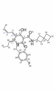 C\C=C/C=c1/c(O)c(C(=O)NC2CC3(CCC3)C2)c(=O)n(Cc2ccc(F)cc2)/c1=C\CC